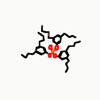 CCCCc1cc(CCCC)cc(OP(=O)(Oc2cc(CCCC)cc(CCCC)c2)Oc2cc(CCCC)cc(CCCC)c2)c1